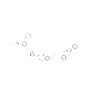 COc1ccc(C2=CN3C(=O)c4cc(C)c(OCCCOc5cc6c(cc5OC)C(=O)N5C=C(c7ccc(NC(=O)Oc8ccc(O[C@@H]9CC(C(=O)O)[C@@H](O)[C@H](O)C9O)c(NC(=O)CCN)c8)cc7)C[C@H]5C=N6)cc4N=C[C@@H]3C2)cc1